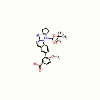 COc1ccc(C(=O)O)cc1-c1ccc2nc(N[C@@H]3CCC[C@@H]3NC(O)OC(C)(C)C)ncc2c1